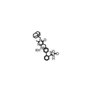 CCCCc1nc(C)n(CC23CC4CC(CC(C4)C2)C3)c(=O)c1Cc1ccc(-c2ccccc2-c2noc(=O)[nH]2)cc1.[KH]